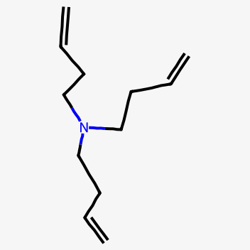 C=CCCN(CCC=C)CCC=C